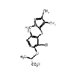 Cc1nn(C)c(Sc2c(Cl)ccc(O[C@@H](C)C(=O)O)c2Cl)c1C